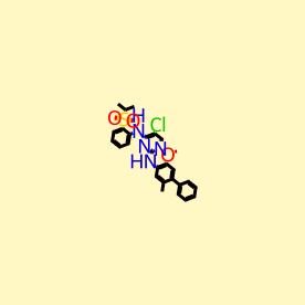 COc1cc(-c2ccccc2)c(C)cc1Nc1ncc(Cl)c(Nc2ccccc2S(=O)(=O)C(C)C)n1